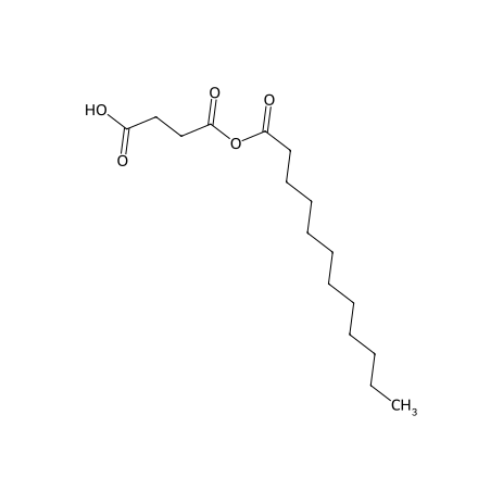 CCCCCCCCCCCC(=O)OC(=O)CCC(=O)O